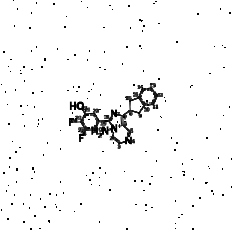 N[N+]12C=CN=CC1=C(C1Cc3ccccc3C1)N=C2c1cc(O)c(F)c(F)c1